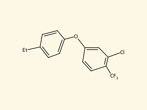 CCc1ccc(Oc2ccc(C(F)(F)F)c(Cl)c2)cc1